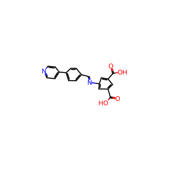 O=C(O)c1cc(N=Cc2ccc(-c3ccncc3)cc2)cc(C(=O)O)c1